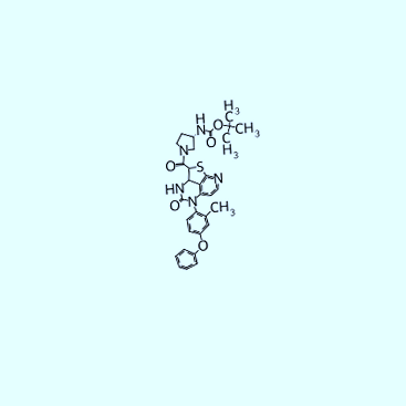 Cc1cc(Oc2ccccc2)ccc1N1C(=O)NC2c3c1ccnc3SC2C(=O)N1CC[C@H](NC(=O)OC(C)(C)C)C1